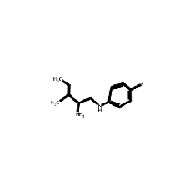 CCC(C)C(N)CNc1ccc(F)cc1